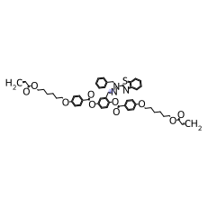 C=CC(=O)OCCCCCCOc1ccc(C(=O)Oc2ccc(OC(=O)c3ccc(OCCCCCCOC(=O)C=C)cc3)c(/C=N/N(Cc3ccccc3)c3nc4ccccc4s3)c2)cc1